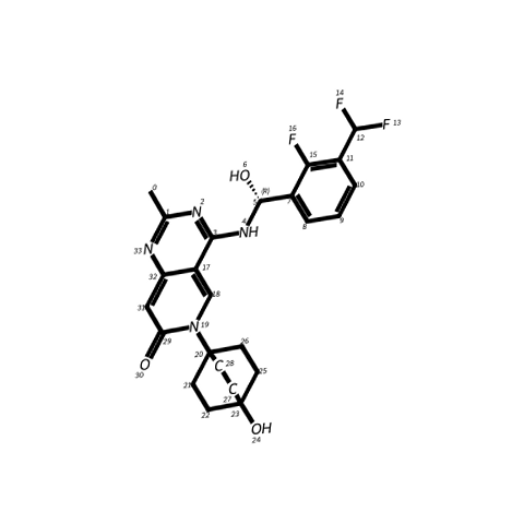 Cc1nc(N[C@H](O)c2cccc(C(F)F)c2F)c2cn(C34CCC(O)(CC3)CC4)c(=O)cc2n1